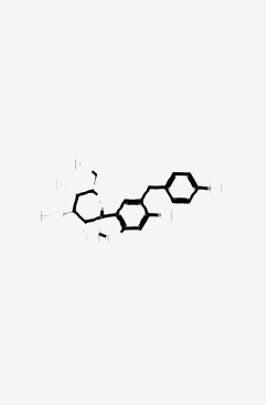 CCc1ccc(Cc2cc3c(cc2Cl)OC[C@]32O[C@H](CO)[C@@H](O)[C@H](O)[C@H]2O)cc1